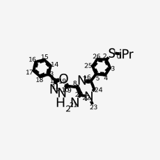 CC(C)Sc1ccc(C2=NC(c3nnc(-c4ccccc4)o3)=C(N)N(C)C2)cc1